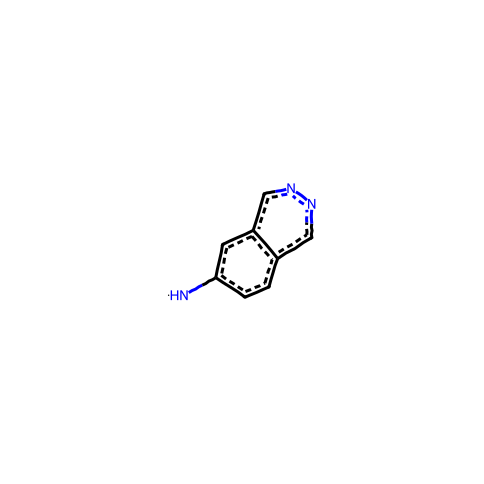 [NH]c1ccc2cnncc2c1